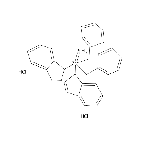 Cl.Cl.[SiH2]=[Zr]([CH2]c1ccccc1)([CH2]c1ccccc1)([CH]1C=Cc2ccccc21)[CH]1C=Cc2ccccc21